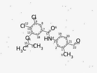 Cc1cc(NC(=O)c2cc(Cl)c(Cl)c(OC(C)C)c2)ccc1C=O